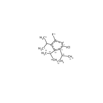 CC(C)c1c(F)cc(Cl)c(C(C)C)c1C(C)C